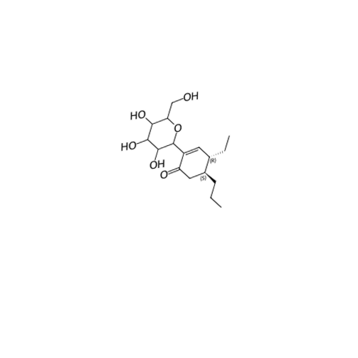 CCC[C@H]1CC(=O)C(C2OC(CO)C(O)C(O)C2O)=C[C@@H]1CC